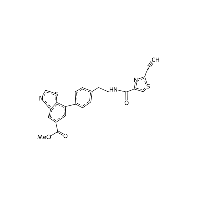 C#Cc1nc(C(=O)NCCc2ccc(-c3cc(C(=O)OC)cc4ncsc34)cc2)cs1